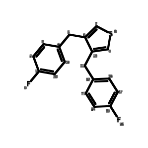 Fc1ccc(Cc2cscc2Cc2ccc(F)cc2)cc1